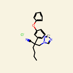 CCCCC(C#N)(CN1C=N[C+]=N1)c1cccc(Oc2ccccc2)c1.[Cl-]